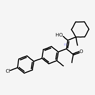 CC(=O)/C(=C(/O)C1(C)CCCCC1)c1ccc(-c2ccc(Cl)cc2)cc1C